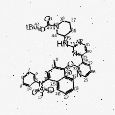 Cc1cc(N(c2ccccc2)S(C)(=O)=O)c2ccccc2c1Oc1ncccc1-c1ccnc(NC2CCCN(C(=O)OC(C)(C)C)C2)n1